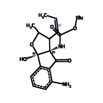 C/C=C\C1C(C)O[C@]2(O)c3cccc(N)c3C(=O)[C@]12NC(=O)OC(C)(C)C